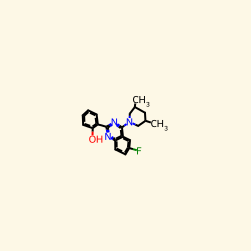 CC1CC(C)CN(c2nc(-c3ccccc3O)nc3ccc(F)cc23)C1